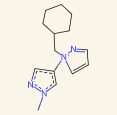 Cn1cc([N+]2(CC3CCCCC3)C=CC=N2)cn1